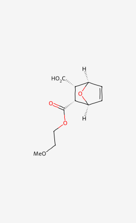 COCCOC(=O)[C@@H]1[C@H](C(=O)O)[C@H]2C=C[C@@H]1O2